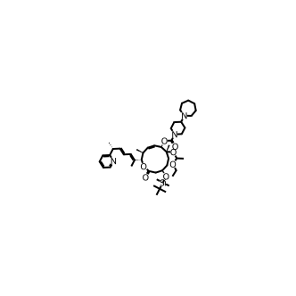 CCOC(C)O[C@]1(C)CC[C@@H](O[Si](C)(C)C(C)(C)C)CC(=O)O[C@H](C(C)=CC=C[C@@H](C)c2ccccn2)[C@@H](C)C=C[C@@H]1OC(=O)N1CCC(N2CCCCCC2)CC1